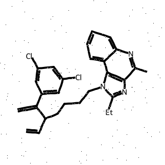 C=CC(CCCCn1c(CC)nc2c(C)nc3ccccc3c21)C(=C)c1cc(Cl)cc(Cl)c1